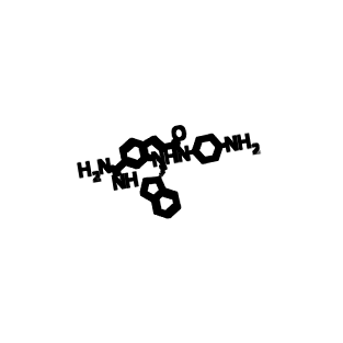 N=C(N)c1ccc2cc(C(=O)N[C@H]3CC[C@H](N)CC3)n(C[C@H]3CCc4ccccc43)c2c1